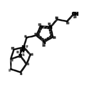 CC(C)N1C2CCC1CN(Cc1cn(CCO)cn1)C2